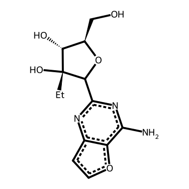 CC[C@]1(O)C(c2nc(N)c3occc3n2)O[C@H](CO)[C@H]1O